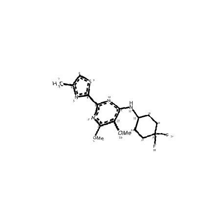 COc1nc(-c2nc(C)cs2)nc(NC2CCC(F)(F)CC2)c1OC